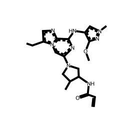 C=CC(=O)NC1CN(c2cn3c(CC)cnc3c(Nc3cn(C)nc3OC)n2)CC1C